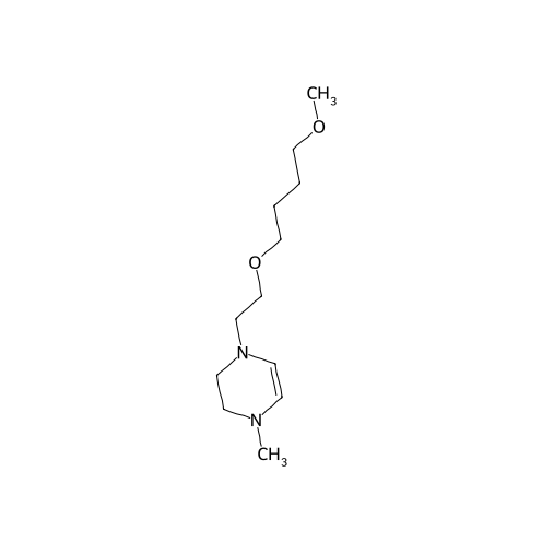 COCCCCOCCN1C=CN(C)CC1